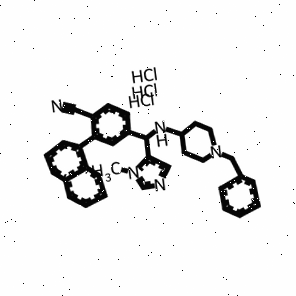 Cl.Cl.Cl.Cn1cncc1C(NC1CCN(Cc2ccccc2)CC1)c1ccc(C#N)c(-c2cccc3ccccc23)c1